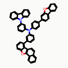 c1cc(-c2cccc3oc4c5ccccc5ccc4c23)cc(N(c2ccc(-c3ccc4c(c3)oc3ccccc34)cc2)c2cccc(-n3c4ccccc4c4ccccc43)c2)c1